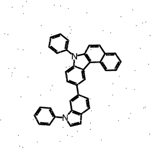 c1ccc(-n2ccc3ccc(-c4ccc5c(c4)c4c6ccccc6ccc4n5-c4ccccc4)cc32)cc1